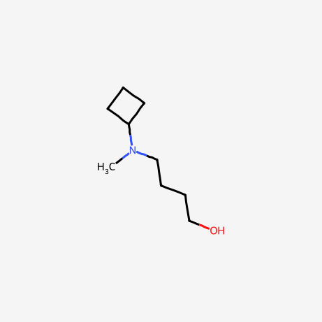 CN(CCCCO)C1CCC1